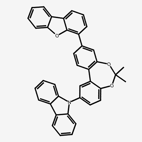 CC1(C)Oc2cc(-c3cccc4c3oc3ccccc34)ccc2-c2cc(-n3c4ccccc4c4ccccc43)ccc2O1